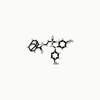 CC(C)(C)c1ccc([I+](OS(=O)(=O)CCOC(=O)C23CC4CC(CC(C4)C2)C3)c2ccc(C(C)(C)C)cc2)cc1